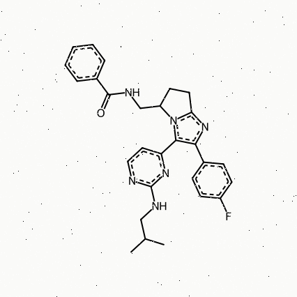 CC(C)CNc1nccc(-c2c(-c3ccc(F)cc3)nc3n2C(CNC(=O)c2ccccc2)CC3)n1